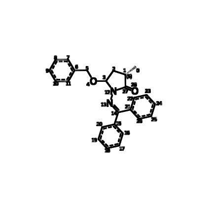 C[C@H]1CC(OCc2ccccc2)N(N=C(c2ccccc2)c2ccccc2)C1=O